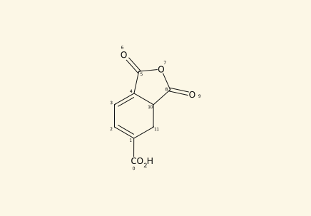 O=C(O)C1=CC=C2C(=O)OC(=O)C2C1